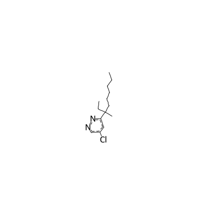 CCCCCCC(C)(CC)c1cc(Cl)cnn1